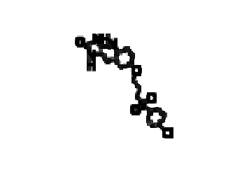 O=c1[nH]c2cc3cc(OCCCS(=O)(=O)c4ccc(Cl)cc4)ccc3nc2[nH]1